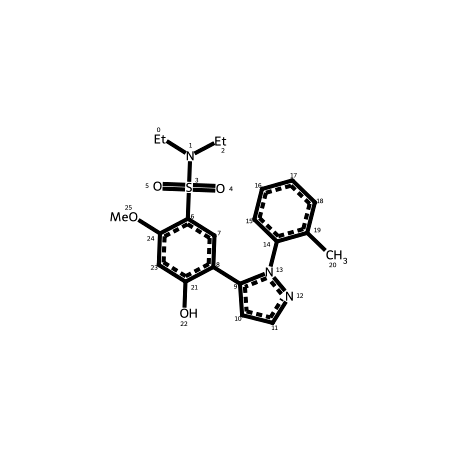 CCN(CC)S(=O)(=O)c1cc(-c2ccnn2-c2ccccc2C)c(O)cc1OC